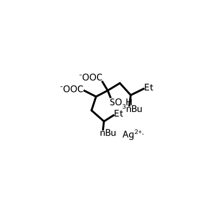 CCCCC(CC)CC(C(=O)[O-])C(CC(CC)CCCC)(C(=O)[O-])S(=O)(=O)O.[Ag+2]